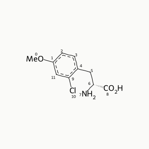 COc1ccc(C[C@@H](N)C(=O)O)c(Cl)c1